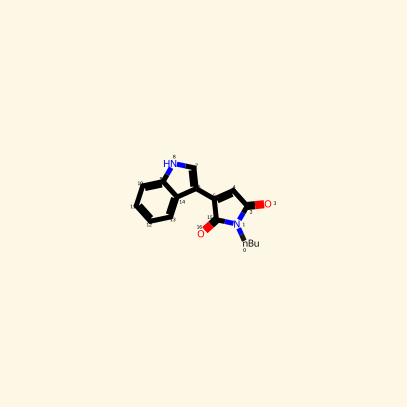 CCCCN1C(=O)C=C(c2c[nH]c3ccccc23)C1=O